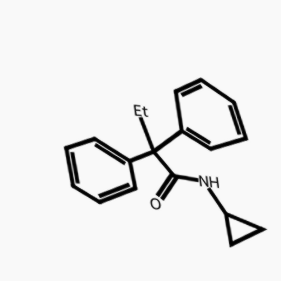 CCC(C(=O)NC1CC1)(c1ccccc1)c1ccccc1